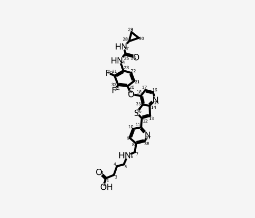 O=C(O)CCCNCc1ccc(-c2cc3nccc(Oc4ccc(NC(=O)NC5CC5)c(F)c4F)c3s2)nc1